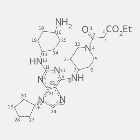 CCOC(=O)CC(=O)N1CCC(Nc2nc(NC3CCC(N)CC3)nc3c2ncn3C2CCCC2)CC1